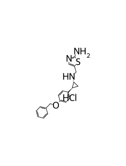 Cl.Nc1ncc(CN[C@@H]2C[C@H]2c2ccc(OCc3ccccc3)cc2)s1